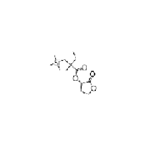 CCC(C)(C[Si](C)(C)C)C(=O)OC1CCOC1=O